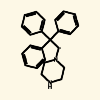 [CH](N1CCNCC1)C(c1ccccc1)(c1ccccc1)c1ccccc1